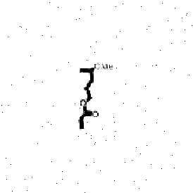 C=CC(=O)OCCCC(C)OC